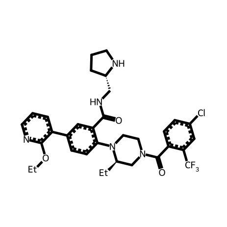 CCOc1ncccc1-c1ccc(N2CCN(C(=O)c3ccc(Cl)cc3C(F)(F)F)C[C@H]2CC)c(C(=O)NC[C@@H]2CCCN2)c1